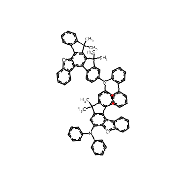 CC1(C)c2cc(N(c3ccc4c(c3)C(C)(C)c3c5c(c6oc7ccccc7c6c3-4)-c3ccccc3C5(C)C)c3ccccc3-c3ccccc3)ccc2-c2c1cc(N(c1ccccc1)c1ccccc1)c1oc3ccccc3c21